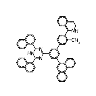 Cc1cc(-c2cc(C3=NC(c4cccc5ccccc45)NC(c4cccc5ccccc45)=N3)cc(-c3cc4ccccc4c4ccccc34)c2)ccc1C1=c2ccccc2=CCN1